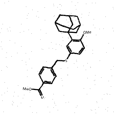 COC(=O)c1ccc(CSc2ccc(OC)c(C34CC5CC(CC(C5)C3)C4)c2)cc1